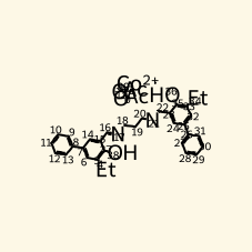 CC(=O)[O-].CC(=O)[O-].CCc1cc(-c2ccccc2)cc(C=NCCCN=Cc2cc(-c3ccccc3)cc(CC)c2O)c1O.[Co+2]